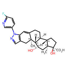 C[C@]12Cc3cnn(-c4ccc(F)nc4)c3C=C1CC[C@@H]1[C@@H]2[C@@H](O)C[C@@]2(C)[C@H]1CC[C@]2(O)C(=O)O